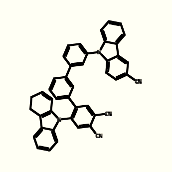 N#Cc1ccc2c(c1)c1ccccc1n2-c1cccc(-c2cccc(-c3cc(C#N)c(C#N)cc3-n3c4c(c5ccccc53)CCC=C4)c2)c1